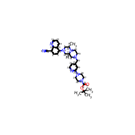 C[C@@H]1CN(c2ccc(C#N)c3ncccc23)C[C@@H]2CN(Cc3ccnc(N4CCN(C(=O)OC(C)(C)C)CC4)c3)CCN21